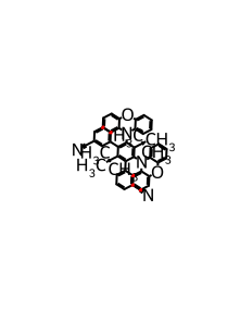 CC(C)(C)c1c(-c2cccc(C#N)c2)c(N2c3ccccc3Oc3ccccc32)c(C(C)(C)C)c(N2c3ccccc3Oc3ccccc32)c1-c1cccc(C#N)c1